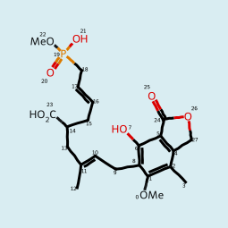 COc1c(C)c2c(c(O)c1C/C=C(\C)CC(C/C=C/CP(=O)(O)OC)C(=O)O)C(=O)OC2